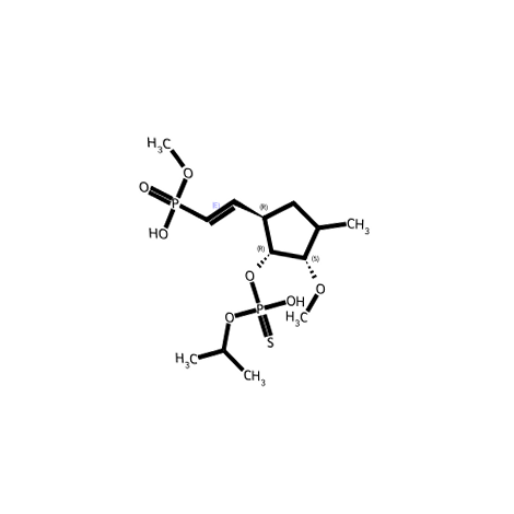 CO[C@H]1C(C)C[C@H](/C=C/P(=O)(O)OC)[C@H]1OP(O)(=S)OC(C)C